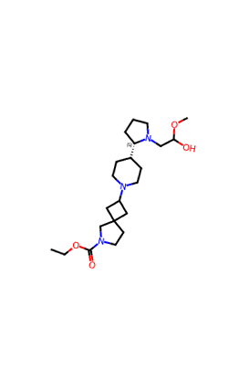 CCOC(=O)N1CCC2(CC(N3CCC([C@@H]4CCCN4CC(O)OC)CC3)C2)C1